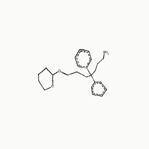 NCCCC(CCCOC1CCCCO1)(c1ccccc1)c1ccccc1